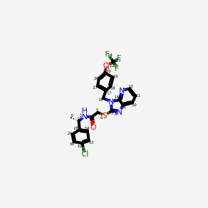 C[C@H](NC(=O)CSc1nc2cccnc2n1Cc1ccc(OC(F)(F)F)cc1)c1ccc(Cl)cc1